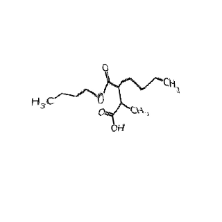 CCCCOC(=O)C(CCCC)C(C)C(=O)O